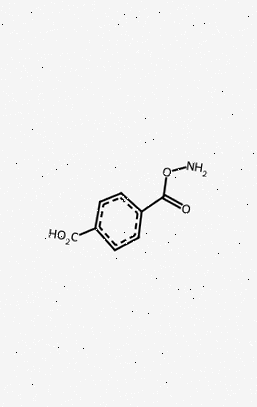 NOC(=O)c1ccc(C(=O)O)cc1